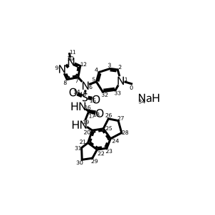 CN1C=CC=C(N(c2cnn(C)c2)S(=O)(=O)NC(=O)Nc2c3c(cc4c2CCC4)CCC3)C=C1.[NaH]